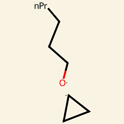 CCCCCC[O].[CH]1CC1